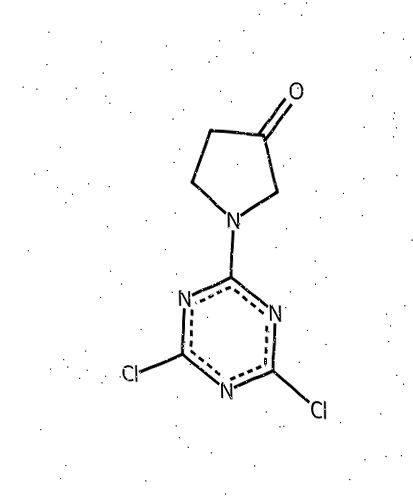 O=C1CCN(c2nc(Cl)nc(Cl)n2)C1